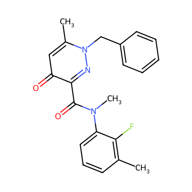 Cc1cccc(N(C)C(=O)c2nn(Cc3ccccc3)c(C)cc2=O)c1F